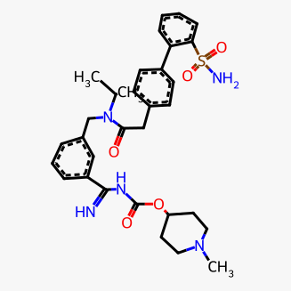 CC(C)N(Cc1cccc(C(=N)NC(=O)OC2CCN(C)CC2)c1)C(=O)Cc1ccc(-c2ccccc2S(N)(=O)=O)cc1